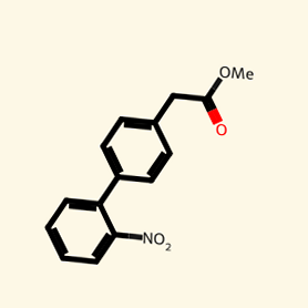 COC(=O)Cc1ccc(-c2ccccc2[N+](=O)[O-])cc1